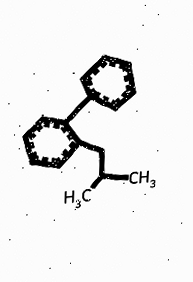 CC(C)Cc1ccc[c]c1-c1ccccc1